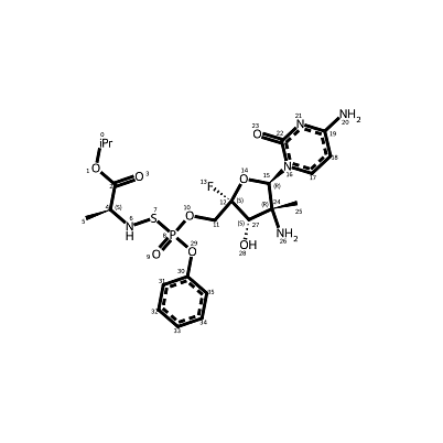 CC(C)OC(=O)[C@H](C)NSP(=O)(OC[C@@]1(F)O[C@@H](n2ccc(N)nc2=O)[C@](C)(N)[C@@H]1O)Oc1ccccc1